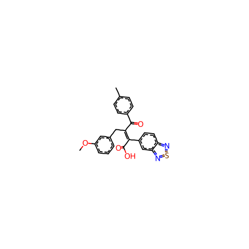 COc1cccc(CC(C(=O)c2ccc(C)cc2)=C(C(=O)O)c2ccc3nsnc3c2)c1